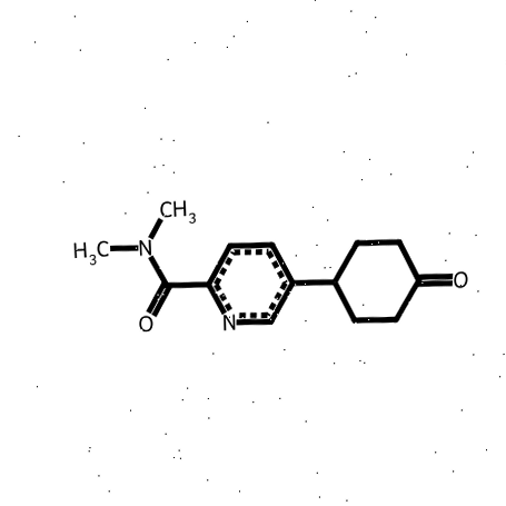 CN(C)C(=O)c1ccc(C2CCC(=O)CC2)cn1